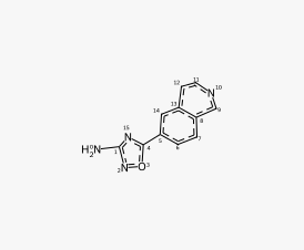 Nc1noc(-c2ccc3cnccc3c2)n1